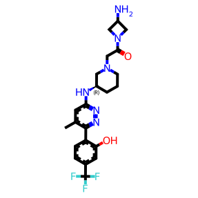 Cc1cc(N[C@@H]2CCCN(CC(=O)N3CC(N)C3)C2)nnc1-c1ccc(C(F)(F)F)cc1O